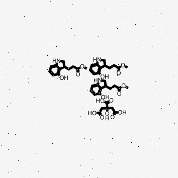 COC(=O)CCC1CNc2cccc(O)c21.COC(=O)CCC1CNc2cccc(O)c21.COC(=O)CCC1CNc2cccc(O)c21.O=C(O)CC(O)(CC(=O)O)C(=O)O